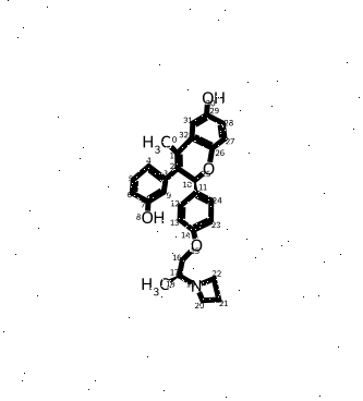 CC1=C(c2cccc(O)c2)[C@H](c2ccc(OC[C@H](C)N3CCC3)cc2)Oc2ccc(O)cc21